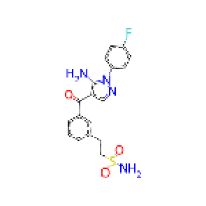 Nc1c(C(=O)c2cccc(CCS(N)(=O)=O)c2)cnn1-c1ccc(F)cc1